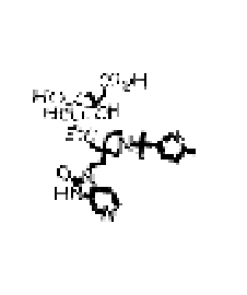 CCOCC1(CCn2c(=O)[nH]c3cnccc32)CCN(C(C)(C)c2ccc(C)nc2)C1.O=C(O)CC(O)(CC(=O)O)C(=O)O